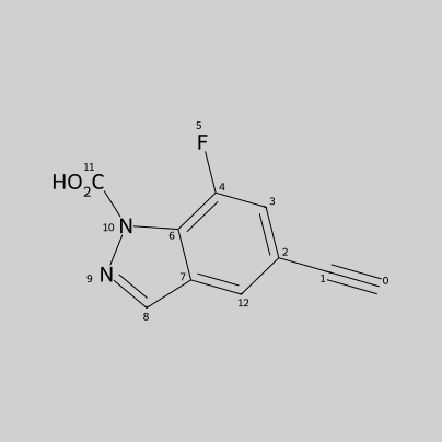 C#Cc1cc(F)c2c(cnn2C(=O)O)c1